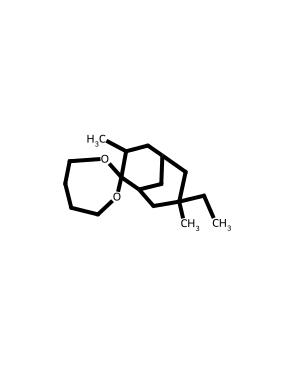 CCC1(C)CC2CC(C)C3(OCCCCO3)C(C2)C1